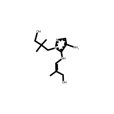 C/C(=C/Nc1c(N)cnn1CC(C)(C)CO)CO